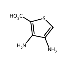 Nc1csc(C(=O)O)c1N